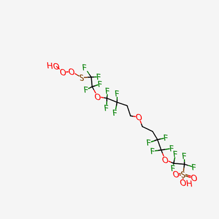 O=S(=O)(O)C(F)(F)C(F)(F)OC(F)(F)C(F)(F)CCOCCC(F)(F)C(F)(F)OC(F)(F)C(F)(F)SOOO